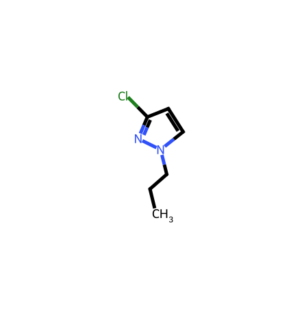 CCCn1ccc(Cl)n1